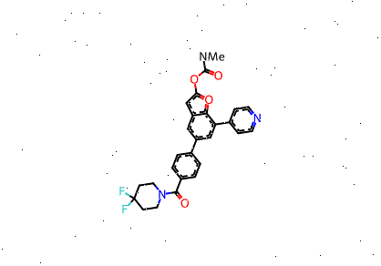 CNC(=O)Oc1cc2cc(-c3ccc(C(=O)N4CCC(F)(F)CC4)cc3)cc(-c3ccncc3)c2o1